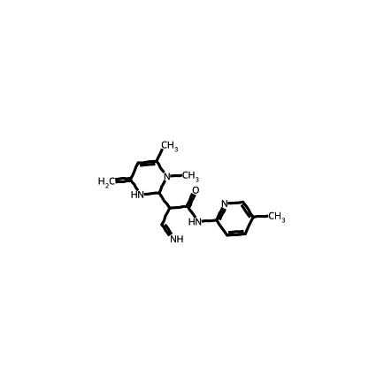 C=C1C=C(C)N(C)C(C(C=N)C(=O)Nc2ccc(C)cn2)N1